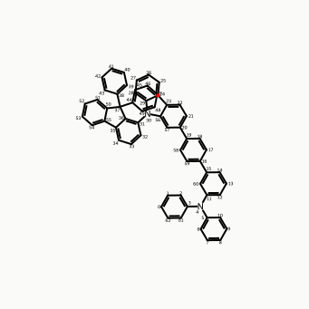 c1ccc(N(c2ccccc2)c2cccc(-c3ccc(-c4ccc5c6ccccc6n(-c6cccc7c6C(c6ccccc6)(c6ccccc6)c6ccccc6-7)c5c4)cc3)c2)cc1